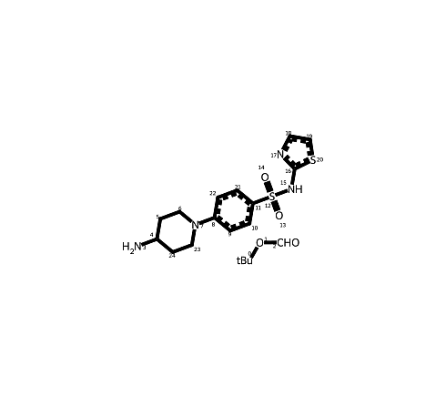 CC(C)(C)OC=O.NC1CCN(c2ccc(S(=O)(=O)Nc3nccs3)cc2)CC1